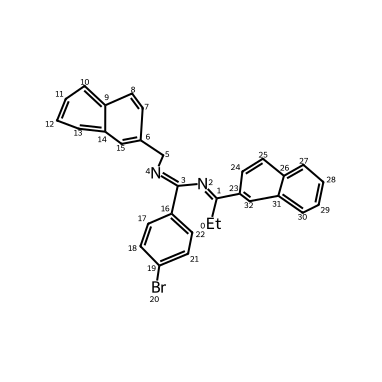 CC/C(=N\C(=N/Cc1ccc2ccccc2c1)c1ccc(Br)cc1)c1ccc2ccccc2c1